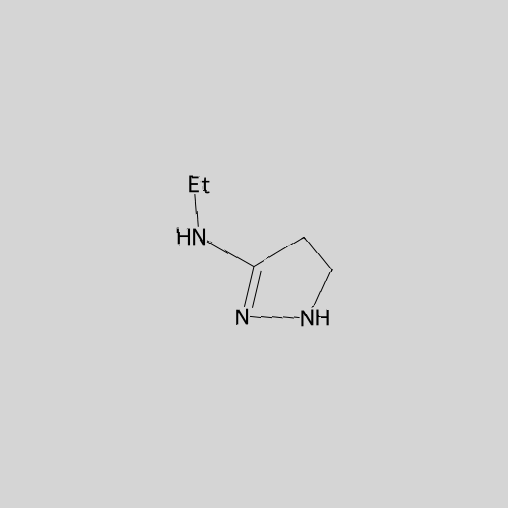 CCNC1=NNCC1